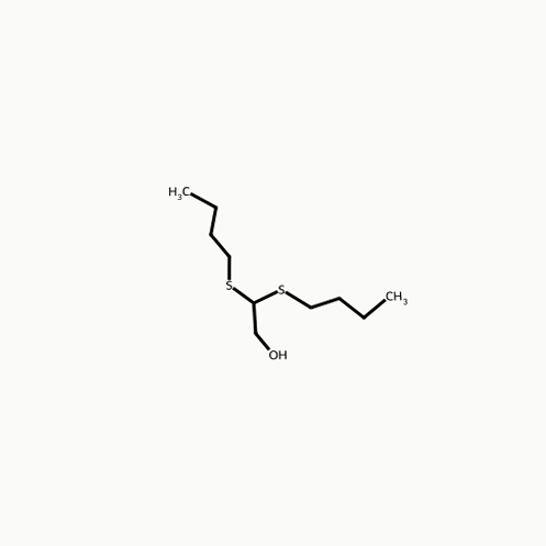 CCCCSC(CO)SCCCC